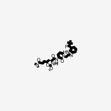 COC(=O)N[C@@H](CC/C=C/C(=O)N(C)C)C(=O)Nc1cccn(Cc2nc3cccc(C(F)C(C)(C)C)c3[nH]2)c1=O